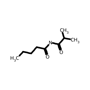 CCCCC(=O)[N]C(=O)C(C)C